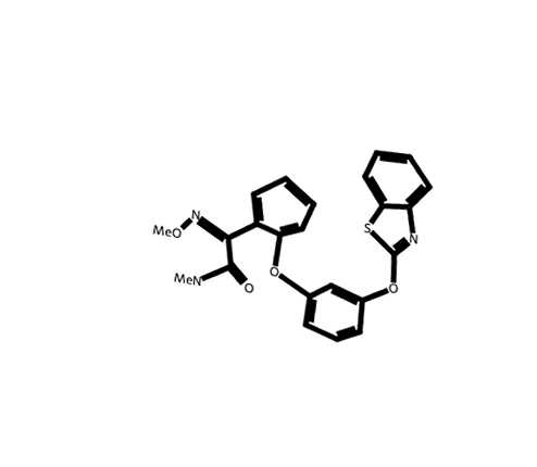 CNC(=O)/C(=N\OC)c1ccccc1Oc1cccc(Oc2nc3ccccc3s2)c1